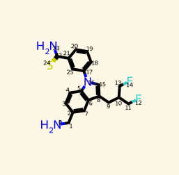 NCc1ccc2c(c1)c(CC(CF)CF)cn2-c1cccc(C(N)=S)c1